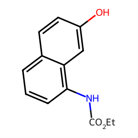 CCOC(=O)Nc1cccc2ccc(O)cc12